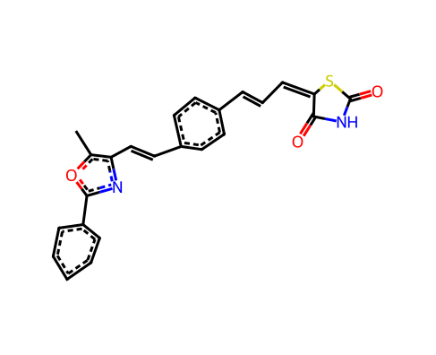 Cc1oc(-c2ccccc2)nc1C=Cc1ccc(C=C/C=C2/SC(=O)NC2=O)cc1